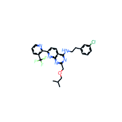 CC(C)COCc1nc(NCCc2cccc(Cl)c2)c2ccc(-c3ncccc3C(F)(F)F)nc2n1